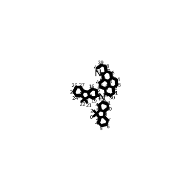 CC1(C)c2ccccc2-c2ccc(N(c3ccc4c(c3)C(C)(C)c3ccccc3-4)c3ccc4ccc5cc6cccnc6c6ccc3c4c56)cc21